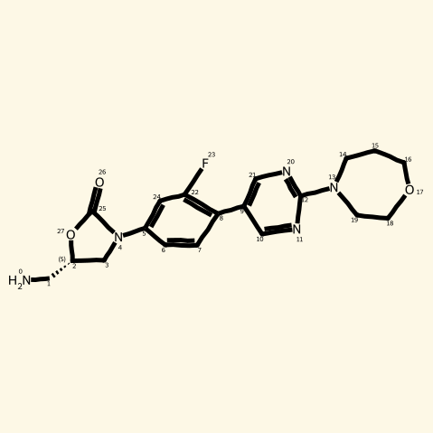 NC[C@H]1CN(c2ccc(-c3cnc(N4CCCOCC4)nc3)c(F)c2)C(=O)O1